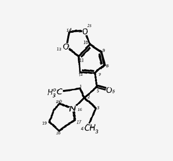 CCC(CC)(C(=O)c1ccc2c(c1)OCO2)N1CCCC1